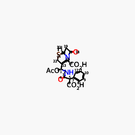 CC(=O)OC(NC(=O)C(C(=O)O)c1ccccc1)C1=C(C(=O)O)N2C(=O)C[C@H]2SC1